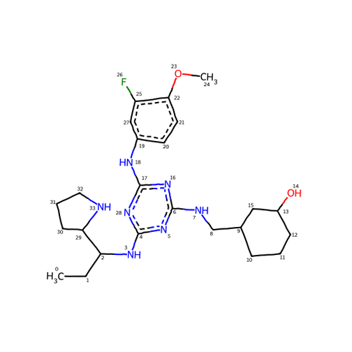 CCC(Nc1nc(NCC2CCCC(O)C2)nc(Nc2ccc(OC)c(F)c2)n1)C1CCCN1